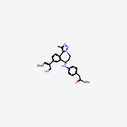 CN/C=C(\C=N)c1ccc2c(c1)[C@H](Nc1ccc(CC(=O)NC)cc1)CCn1nnc(C)c1-2